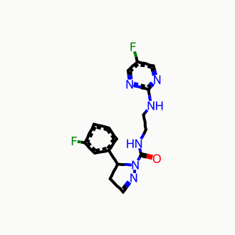 O=C(NCCNc1ncc(F)cn1)N1N=CCC1c1cccc(F)c1